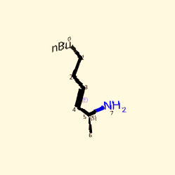 CCCCCC/C=C/[C@H](C)N